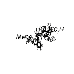 COCC(=O)N[C@@H]1Cc2ccccc2N(C(=O)CC(C)(C)C[C@H](NC(=O)OC(C)(C)C)[C@@H](O)C[C@@H](C)C(=O)O)C1